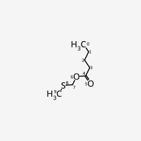 CCCCC(=O)OCSC